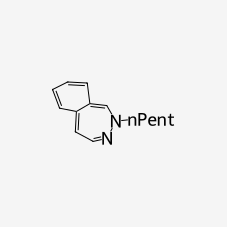 CCCCCN1C=c2ccccc2=CC=N1